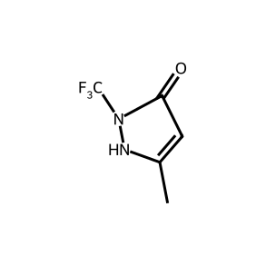 Cc1cc(=O)n(C(F)(F)F)[nH]1